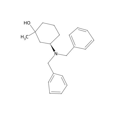 CC1(O)CCC[C@@H](N(Cc2ccccc2)Cc2ccccc2)C1